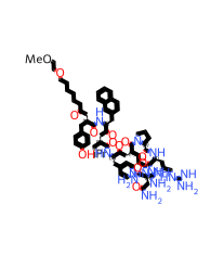 COCCOCCCCCCC(=O)C[C@@H](Cc1ccc(O)cc1)C(=O)N[C@@H](Cc1ccc2ccccc2c1)C(=O)C[C@@H](CC(C)C)C(=O)N[C@@H](Cc1ccncc1)C(=O)C[C@@H](CCCNC(=N)N)C(=O)N1CCC[C@H]1C(=O)N[C@@H](CCCNC(=N)N)C(=O)N[C@@H](CC(N)=O)C(N)=O